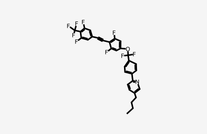 CCCCc1ccc(-c2ccc(C(F)(F)Oc3cc(F)c(C#Cc4cc(F)c(C(F)(F)F)c(F)c4)c(F)c3)cc2)nc1